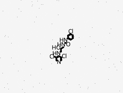 O=C(NCC(O)CNc1c(Cl)cncc1Cl)Nc1cccc(Cl)c1